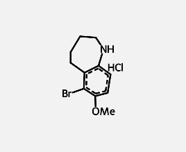 COc1ccc2c(c1Br)CCCCN2.Cl